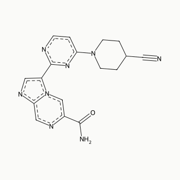 N#CC1CCN(c2ccnc(-c3cnc4cnc(C(N)=O)cn34)n2)CC1